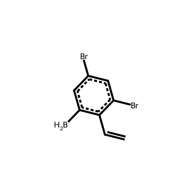 Bc1cc(Br)cc(Br)c1C=C